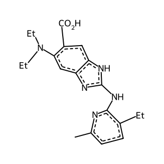 CCc1ccc(C)nc1Nc1nc2cc(N(CC)CC)c(C(=O)O)cc2[nH]1